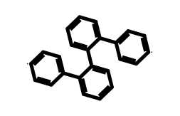 [c]1ccc(-c2ccccc2-c2ccccc2-c2cc[c]cc2)cc1